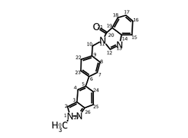 Cn1cc2cc(-c3ccc(Cn4cnc5ccccc5c4=O)cc3)ccc2n1